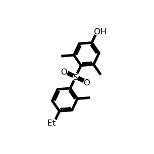 CCc1ccc(S(=O)(=O)c2c(C)cc(O)cc2C)c(C)c1